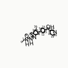 CCNC(=O)Nc1nc2cc(-c3ccc(C(O)c4cccnc4)cc3)c(C)cc2s1